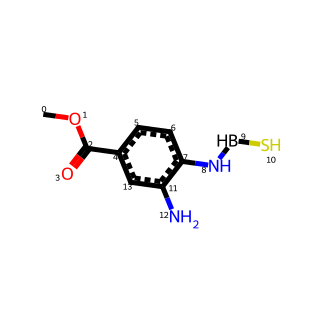 COC(=O)c1ccc(NBS)c(N)c1